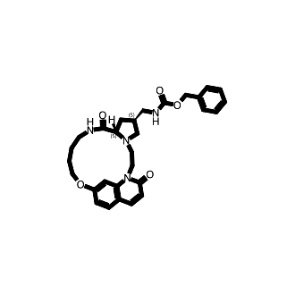 O=C(NC[C@@H]1C[C@H]2C(=O)NCCCCOc3ccc4ccc(=O)n(c4c3)CCN2C1)OCc1ccccc1